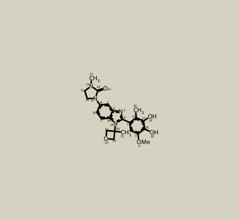 COc1cc(-c2nc3cc(N4CCN(C)C4=O)ccc3n2C2(C)COC2)c(C)c(O)c1O